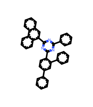 c1ccc(-c2ccc(-c3nc(-c4ccccc4)nc(-c4cc5ccccc5c5ccccc45)n3)c(-c3ccccc3)c2)cc1